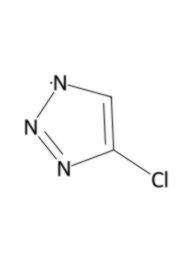 ClC1=C[N]N=N1